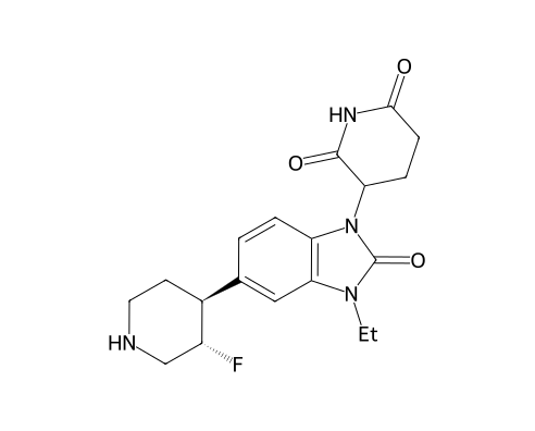 CCn1c(=O)n(C2CCC(=O)NC2=O)c2ccc([C@@H]3CCNC[C@H]3F)cc21